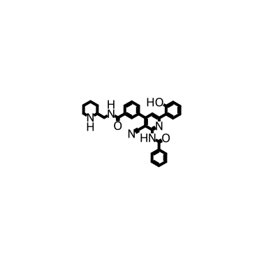 N#Cc1c(-c2cccc(C(=O)NCC3CCCCN3)c2)cc(-c2ccccc2O)nc1NC(=O)c1ccccc1